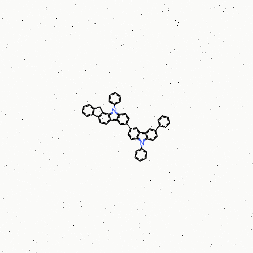 c1ccc(-c2ccc3c(c2)c2cc(-c4ccc5c(c4)c4ccc6c(c4n5-c4ccccc4)Cc4ccccc4-6)ccc2n3-c2ccccc2)cc1